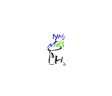 CC1CN=C(N)SC1.Cl